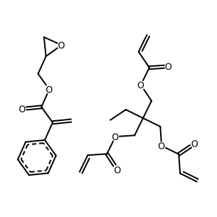 C=C(C(=O)OCC1CO1)c1ccccc1.C=CC(=O)OCC(CC)(COC(=O)C=C)COC(=O)C=C